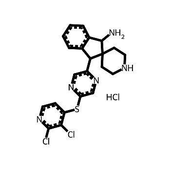 Cl.NC1c2ccccc2C(c2cnc(Sc3ccnc(Cl)c3Cl)cn2)C12CCNCC2